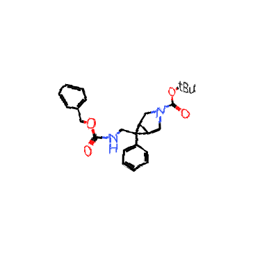 CC(C)(C)OC(=O)N1CC2C(C1)C2(CNC(=O)OCc1ccccc1)c1ccccc1